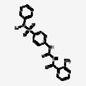 CCN(c1ccccc1)S(=O)(=O)c1ccc(NC(=S)NC(=O)c2ccccc2[N+](=O)[O-])cc1